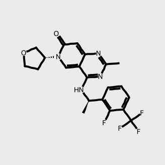 Cc1nc(N[C@H](C)c2cccc(C(F)(F)F)c2F)c2cn([C@@H]3CCOC3)c(=O)cc2n1